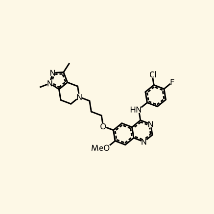 COc1cc2ncnc(Nc3ccc(F)c(Cl)c3)c2cc1OCCCN1CCc2c(c(C)nn2C)C1